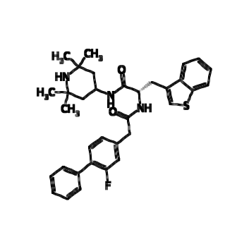 CC1(C)CC(NC(=O)[C@H](Cc2csc3ccccc23)NC(=O)Cc2ccc(-c3ccccc3)c(F)c2)CC(C)(C)N1